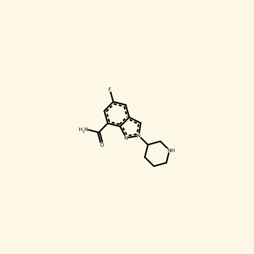 NC(=O)c1cc(F)cc2cn(C3CCCNC3)nc12